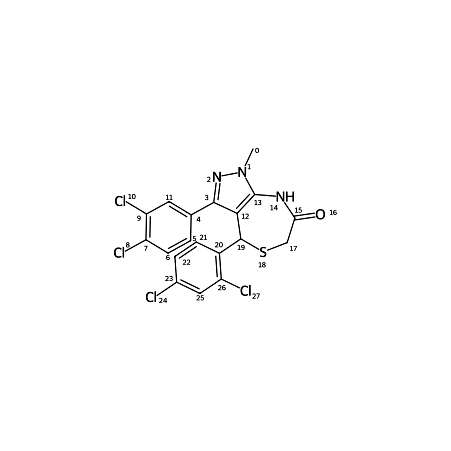 Cn1nc(-c2ccc(Cl)c(Cl)c2)c2c1NC(=O)CSC2c1ccc(Cl)cc1Cl